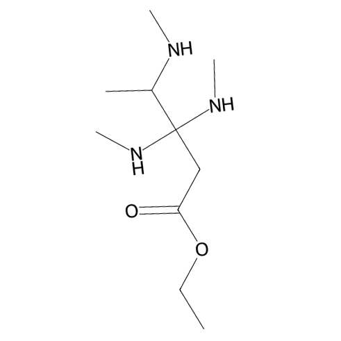 CCOC(=O)CC(NC)(NC)C(C)NC